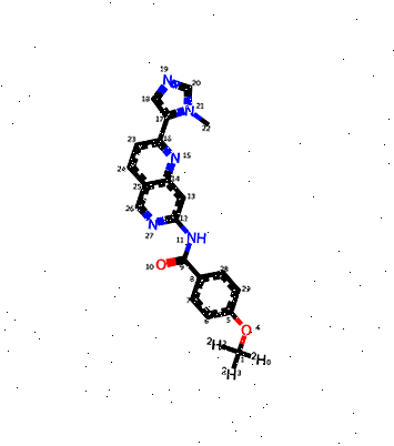 [2H]C([2H])([2H])Oc1ccc(C(=O)Nc2cc3nc(-c4cncn4C)ccc3cn2)cc1